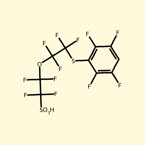 O=S(=O)(O)C(F)(F)C(F)(F)OC(F)(F)C(F)(F)Sc1c(F)c(F)cc(F)c1F